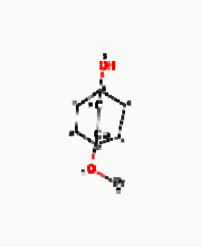 CC(C)OC12CCC(O)(CC1)CC2